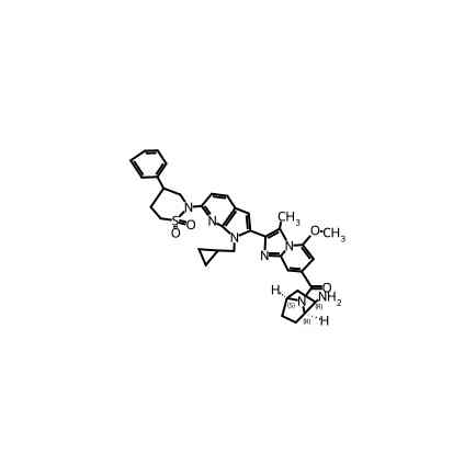 COc1cc(C(=O)N2[C@H]3CC[C@@H]2[C@H](N)C3)cc2nc(-c3cc4ccc(N5CC(c6ccccc6)CCS5(=O)=O)nc4n3CC3CC3)c(C)n12